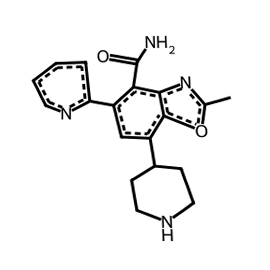 Cc1nc2c(C(N)=O)c(-c3ccccn3)cc(C3CCNCC3)c2o1